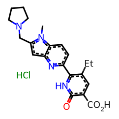 CCc1cc(C(=O)O)c(=O)[nH]c1-c1ccc2c(cc(CN3CCCC3)n2C)n1.Cl